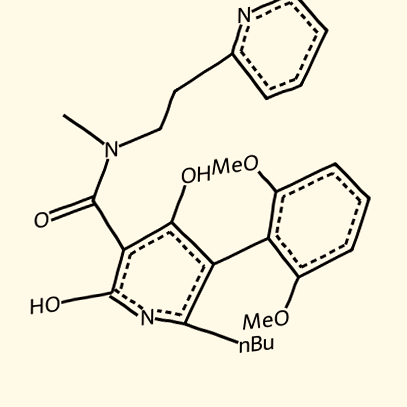 CCCCc1nc(O)c(C(=O)N(C)CCc2ccccn2)c(O)c1-c1c(OC)cccc1OC